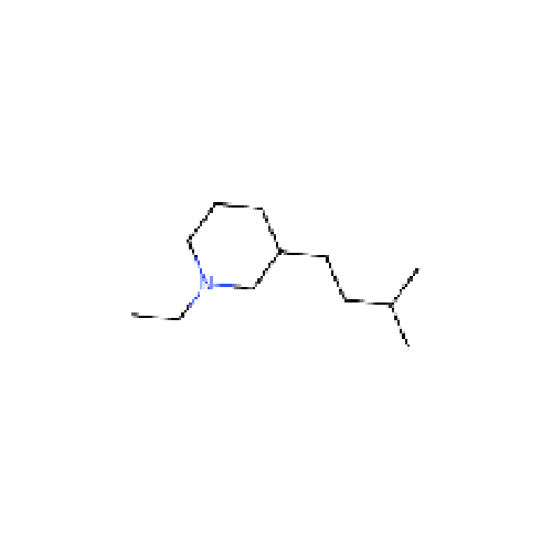 CCN1CCCC(CCC(C)C)C1